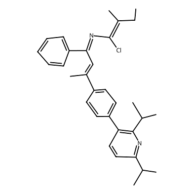 CC/C(C)=C(Cl)/N=C(\C=C(/C)c1ccc(-c2ccc(C(C)C)nc2C(C)C)cc1)c1ccccc1